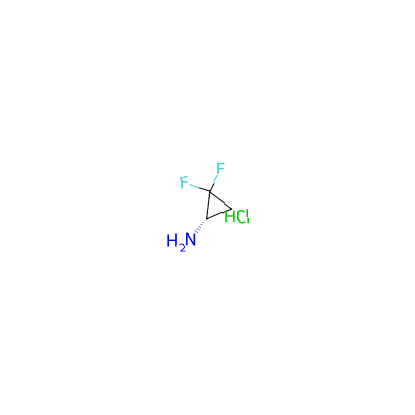 Cl.N[C@H]1CC1(F)F